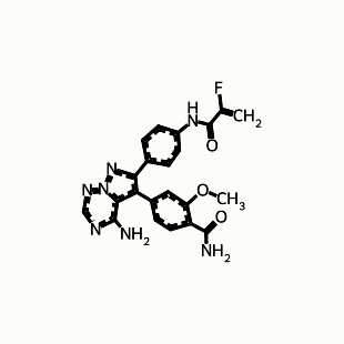 C=C(F)C(=O)Nc1ccc(-c2nn3ncnc(N)c3c2-c2ccc(C(N)=O)c(OC)c2)cc1